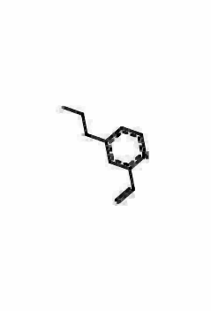 C=Cc1cc([CH]CC)ccn1